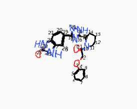 O=C(COc1ccccc1)N1CCCC[C@@H]1c1nc(-c2ccc3[nH]c(=O)[nH]c3c2)n[nH]1